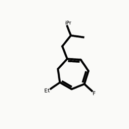 CCC1=CC(F)=CC=C(CC(C)C(C)C)C1